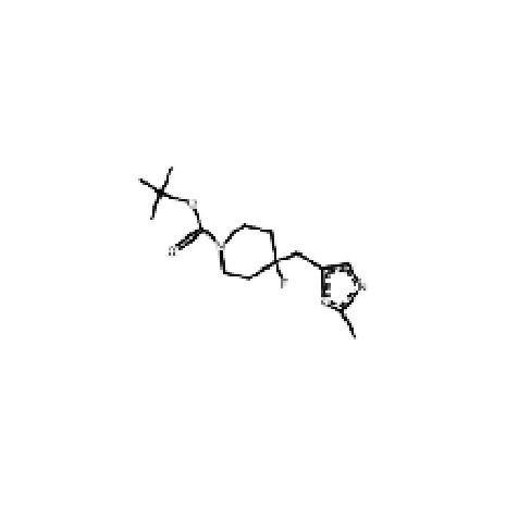 Cc1ncc(CC2(F)CCN(C(=O)OC(C)(C)C)CC2)s1